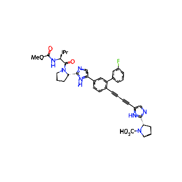 COC(=O)N[C@H](C(=O)N1CCC[C@H]1c1ncc(-c2ccc(C#CC#Cc3cnc([C@@H]4CCCN4C(=O)O)[nH]3)c(-c3cccc(F)c3)c2)[nH]1)C(C)C